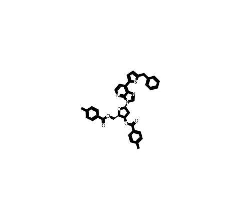 Cc1ccc(C(=O)OC[C@H]2O[C@@H](n3cnc4c(-c5ccc(Cc6ccccc6)s5)ccnc43)CC2OC(=O)c2ccc(C)cc2)cc1